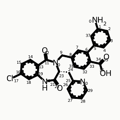 Nc1cccc(-c2cc(CN3C(=O)c4ccc(Cl)cc4NC(=O)[C@H]3Cc3ccccn3)ccc2C(=O)O)c1